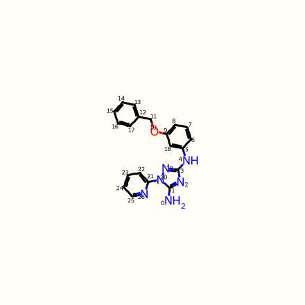 Nc1nc(Nc2cccc(OCc3ccccc3)c2)nn1-c1ccccn1